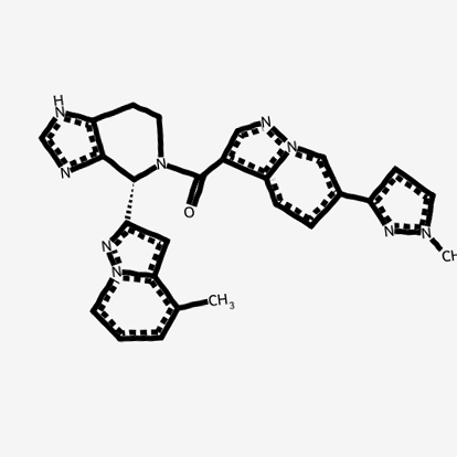 Cc1cccn2nc([C@@H]3c4nc[nH]c4CCN3C(=O)c3cnn4cc(-c5ccn(C)n5)ccc34)cc12